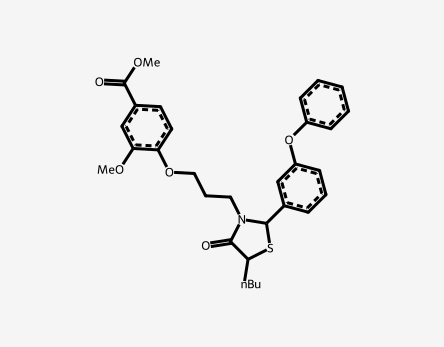 CCCCC1SC(c2cccc(Oc3ccccc3)c2)N(CCCOc2ccc(C(=O)OC)cc2OC)C1=O